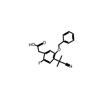 CC(C)(C#N)c1cc(F)c(CC(=O)O)cc1OCc1ccccc1